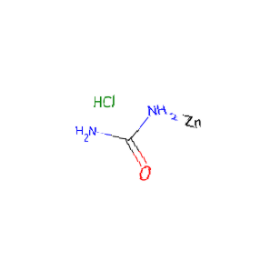 Cl.NC(N)=O.[Zn]